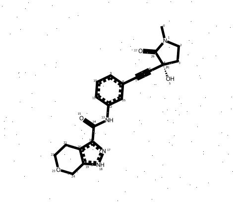 CN1CC[C@@](O)(C#Cc2cccc(NC(=O)c3n[nH]c4c3CCOC4)c2)C1=O